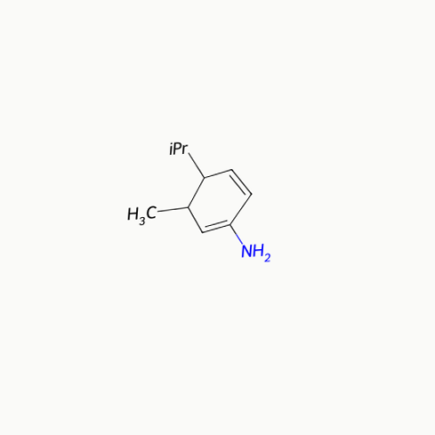 CC(C)C1C=CC(N)=CC1C